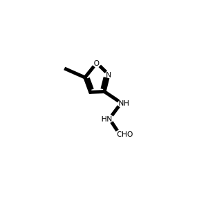 Cc1cc(NNC=O)no1